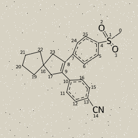 CS(=O)(=O)c1ccc(C2=C(c3ccc(C#N)cc3)CC3(CCCC3)C2)cc1